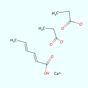 C/C=C/C=C/C(=O)O.CCC(=O)[O-].CCC(=O)[O-].[Ca+2]